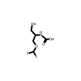 O=C(O)NC(CO)COC(F)F